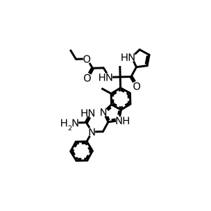 CCOC(=O)CNC(C)(C(=O)C1C=CCN1)c1ccc2[nH]c(CN(C(=N)N)c3ccccc3)nc2c1C